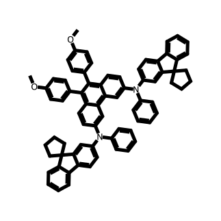 COc1ccc(-c2c(-c3ccc(OC)cc3)c3ccc(N(c4ccccc4)c4ccc5c(c4)C4(CCCC4)c4ccccc4-5)cc3c3cc(N(c4ccccc4)c4ccc5c(c4)C4(CCCC4)c4ccccc4-5)ccc23)cc1